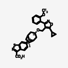 C[C@@H]1CC2C[C@H](OCc3c(-c4ccccc4OC(F)(F)F)noc3C3CC3)CC1N2c1ccc2c(C(=O)O)nsc2c1